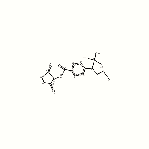 CCCC(c1ccc(C(=O)ON2C(=O)CCC2=O)cc1)C(F)(F)F